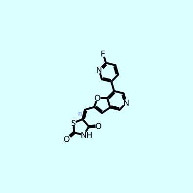 O=C1NC(=O)/C(=C\c2cc3cncc(-c4ccc(F)nc4)c3o2)S1